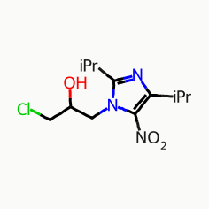 CC(C)c1nc(C(C)C)n(CC(O)CCl)c1[N+](=O)[O-]